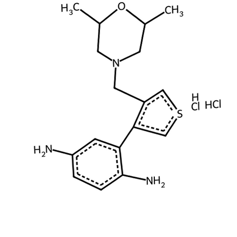 CC1CN(Cc2cscc2-c2cc(N)ccc2N)CC(C)O1.Cl.Cl